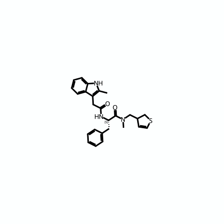 Cc1[nH]c2ccccc2c1CC(=O)N[C@@H](Cc1ccccc1)C(=O)N(C)CC1C=CSC1